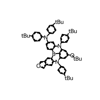 CC(C)(C)Oc1cc2c3c(c1)N(c1ccc(C(C)(C)C)cc1)c1cc4cocc4cc1B3c1ccc(N(c3ccc(C(C)(C)C)cc3)c3ccc(C(C)(C)C)cc3)cc1N2c1ccc(C(C)(C)C)cc1